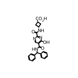 O=C(N[C@H]1C[C@H](C(=O)O)C1)c1ncc(C(=O)NC(c2ccccc2)c2ccccc2)c(O)n1